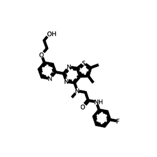 Cc1sc2nc(-c3cc(OCCO)ccn3)nc(N(C)CC(=O)Nc3cccc(F)c3)c2c1C